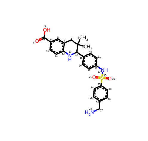 CC1(C)Cc2cc(C(=O)O)ccc2NC1c1ccc(NS(=O)(=O)c2ccc(CN)cc2)cc1